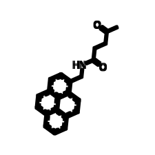 CC(=O)CCC(=O)NCc1ccc2ccc3cccc4ccc1c2c34